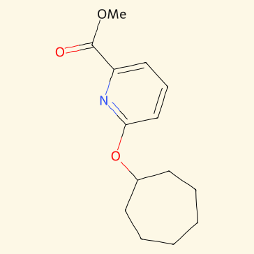 COC(=O)c1cccc(OC2CCCCCC2)n1